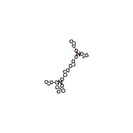 CC1(C)c2ccccc2-c2ccc(N(c3ccc(-c4ccc5c(ccc6ccccc65)c4)cc3)c3ccc(-c4ccc5c(ccc6cc(-c7ccc8c(ccc9cc(-c%10ccc(N(c%11ccc(-c%12ccc%13c(ccc%14ccccc%14%13)c%12)cc%11)c%11ccc%12c(c%11)C(c%11ccccc%11)(c%11ccccc%11)c%11ccccc%11-%12)cc%10)ccc98)c7)ccc65)c4)cc3)cc21